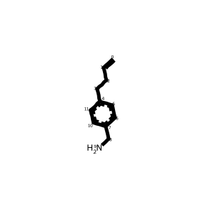 C=CCCc1ccc(CN)cc1